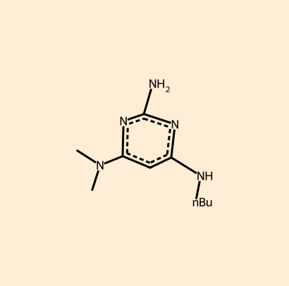 CCCCNc1cc(N(C)C)nc(N)n1